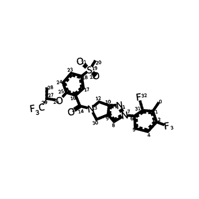 Cc1c(F)ccc(-n2cc3c(n2)CN(C(=O)c2cc(S(C)(=O)=O)ccc2O[C@@H](C)C(F)(F)F)C3)c1F